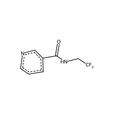 O=C(NCC(F)(F)F)c1cccnc1